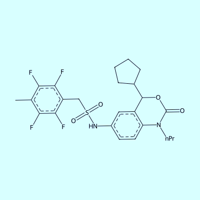 CCCN1C(=O)OC(C2CCCC2)c2cc(NS(=O)(=O)Cc3c(F)c(F)c(C)c(F)c3F)ccc21